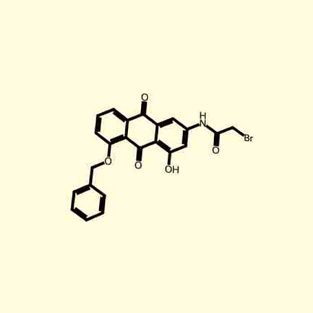 O=C(CBr)Nc1cc(O)c2c(c1)C(=O)c1cccc(OCc3ccccc3)c1C2=O